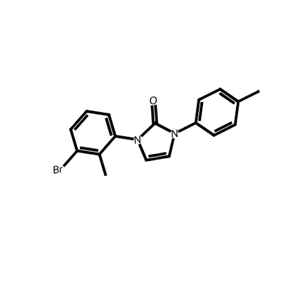 Cc1ccc(-n2ccn(-c3cccc(Br)c3C)c2=O)cc1